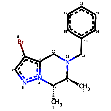 C[C@H]1[C@H](C)n2ncc(Br)c2CN1Cc1ccccc1